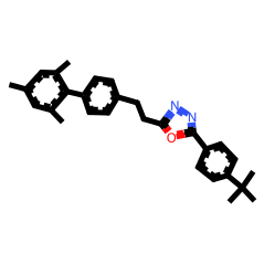 Cc1cc(C)c(-c2ccc(CCc3nnc(-c4ccc(C(C)(C)C)cc4)o3)cc2)c(C)c1